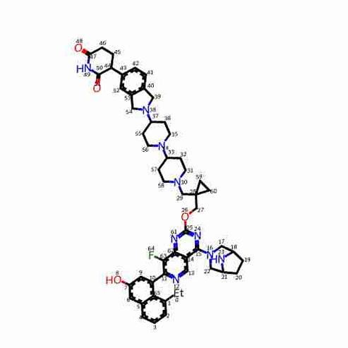 CCc1cccc2cc(O)cc(-c3ncc4c(N5CC6CCC(C5)N6)nc(OCC5(CN6CCC(N7CCC(N8Cc9ccc(C%10CCC(=O)NC%10=O)cc9C8)CC7)CC6)CC5)nc4c3F)c12